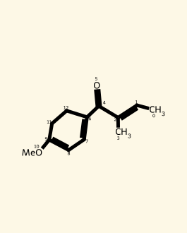 C/C=C(\C)C(=O)C1=CC=C(OC)CC1